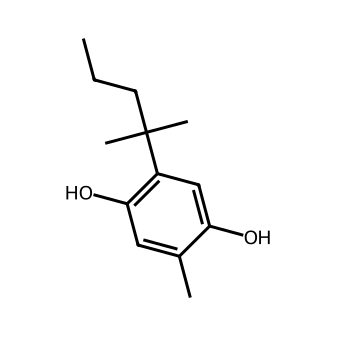 CCCC(C)(C)c1cc(O)c(C)cc1O